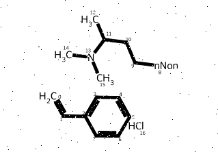 C=Cc1ccccc1.CCCCCCCCCCCC(C)N(C)C.Cl